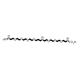 CCCNCCOCCOCCOCCOCCCNCCOCCOCCOCCNC(=O)O